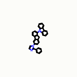 c1ccc(-c2nccn2-c2ccc3c(c2)-c2cccc(-n4c5ccccc5c5ccccc54)c2C3)cc1